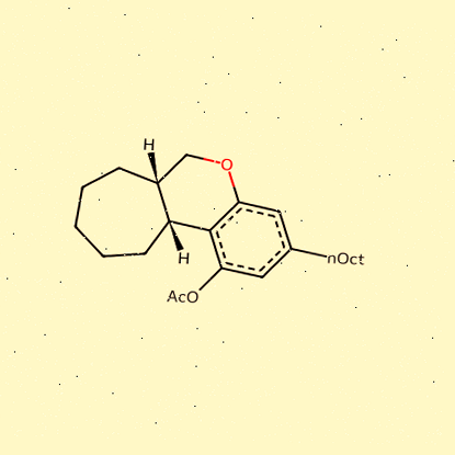 CCCCCCCCc1cc2c(c(OC(C)=O)c1)[C@@H]1CCCCC[C@@H]1CO2